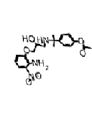 CC(=O)Oc1ccc(C(C)(C)NCC(O)COc2cccc([N+](=O)[O-])c2N)cc1